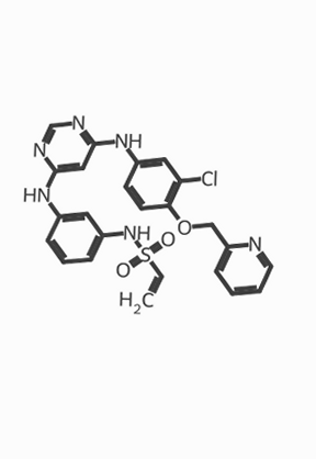 C=CS(=O)(=O)Nc1cccc(Nc2cc(Nc3ccc(OCc4ccccn4)c(Cl)c3)ncn2)c1